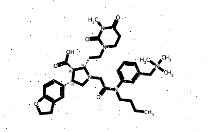 CCCCN(C(=O)CN1C[C@H](c2ccc3c(c2)CCO3)[C@@H](C(=O)O)[C@@H]1CCN1CCC(=O)N(C)C1=O)c1cccc(C[N+](C)(C)C)c1